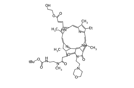 CCC1=C(C)c2cc3[nH]c(cc4nc(c5c6[nH]c(cc1n2)c(C)c6C(=O)N(CCN1CCOCC1)C5=O)[C@@H](CCC(=O)N(C)CCNC(=O)OC(C)(C)C)[C@@H]4C)c(C)c3/C=C/C(=O)OCCO